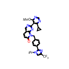 COc1ncnc(C2CC2)c1-c1ncc2ccc(=O)n(Cc3ccc(-c4nc(C(F)(F)F)cn4C(C)C)cc3)c2n1